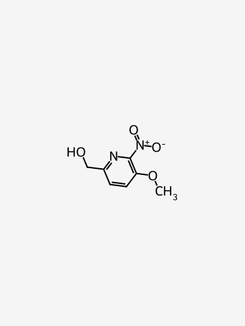 COc1ccc(CO)nc1[N+](=O)[O-]